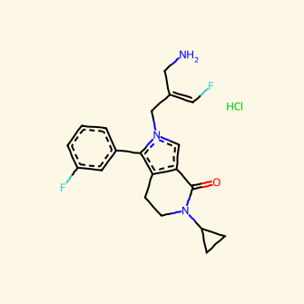 Cl.NCC(=CF)Cn1cc2c(c1-c1cccc(F)c1)CCN(C1CC1)C2=O